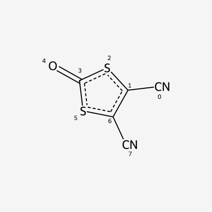 N#Cc1sc(=O)sc1C#N